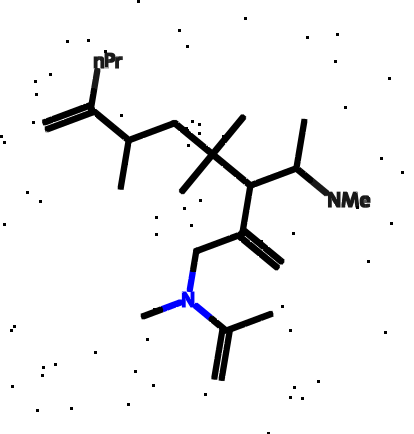 C=C(CCC)C(C)CC(C)(C)C(C(=C)CN(C)C(=C)C)C(C)NC